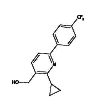 OCc1ccc(-c2ccc(C(F)(F)F)cc2)nc1C1CC1